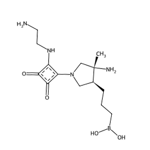 C[C@]1(N)CN(c2c(NCCN)c(=O)c2=O)C[C@@H]1CCCB(O)O